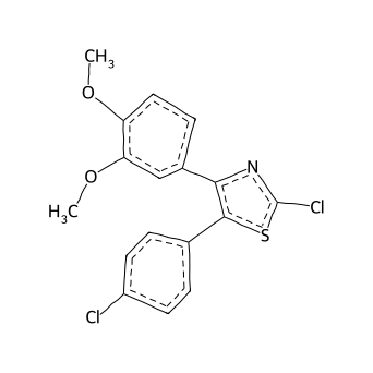 COc1ccc(-c2nc(Cl)sc2-c2ccc(Cl)cc2)cc1OC